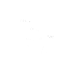 CCCCCCOCC(N)(C1CC1)C1CC1